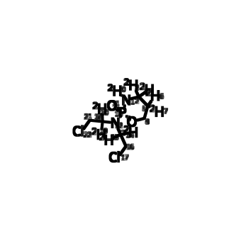 [2H]N1C([2H])([2H])C([2H])([2H])COP1(=O)N(C([2H])([2H])CCl)C([2H])([2H])CCl